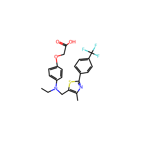 CCN(Cc1sc(-c2ccc(C(F)(F)F)cc2)nc1C)c1ccc(OCC(=O)O)cc1